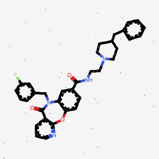 O=C(NCCN1CCC(Cc2ccccc2)CC1)c1ccc2c(c1)N(Cc1cccc(F)c1)C(=O)c1cccnc1O2